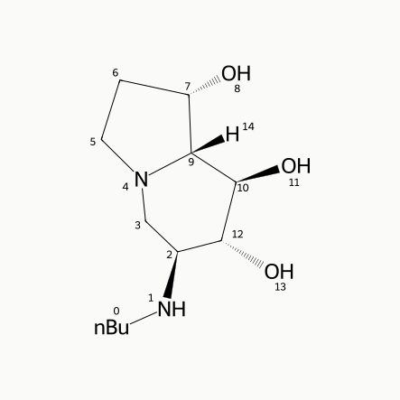 CCCCN[C@H]1CN2CC[C@H](O)[C@@H]2[C@@H](O)[C@@H]1O